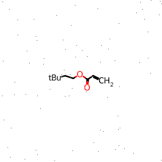 C=CC(=O)OCCC(C)(C)C